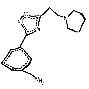 Nc1cccc(-c2noc(CN3CCCC3)n2)c1